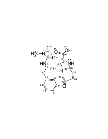 CN(C)C(=O)NC(=O)Cc1ccccc1.O=C(O)c1nc2cc(Cl)ccc2[nH]1